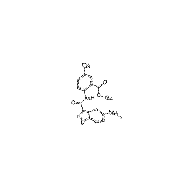 CC(C)(C)OC(=O)c1cc(C#N)ccc1[AsH]C(=O)c1noc2ccc(N)cc12